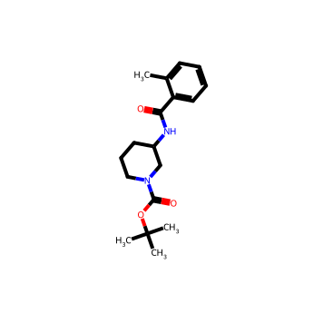 Cc1ccccc1C(=O)NC1CCCN(C(=O)OC(C)(C)C)C1